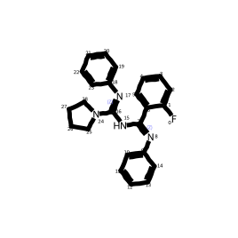 Fc1ccccc1/C(=N/c1ccccc1)N/C(=N/c1ccccc1)N1CCCC1